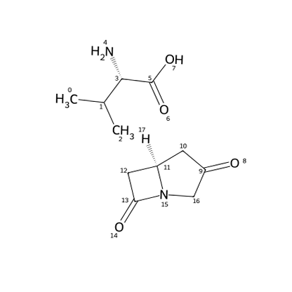 CC(C)[C@H](N)C(=O)O.O=C1C[C@@H]2CC(=O)N2C1